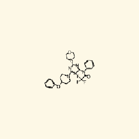 O=C(N(c1ccccc1)c1nc(N2CCOCC2)nc(N2CCC(Oc3ccccc3)CC2)n1)C(F)(F)F